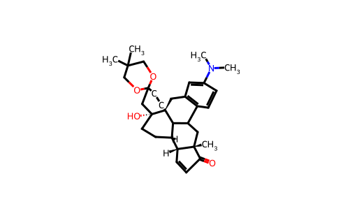 CN(C)c1ccc2c(c1)C[C@]13CCC4(C[C@]1(O)CC[C@@H]1C3C2C[C@]2(C)C(=O)C=C[C@H]12)OCC(C)(C)CO4